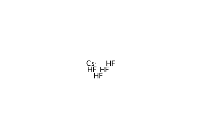 F.F.F.F.[Cs]